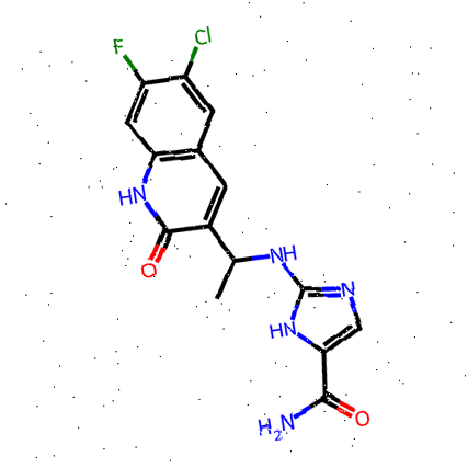 CC(Nc1ncc(C(N)=O)[nH]1)c1cc2cc(Cl)c(F)cc2[nH]c1=O